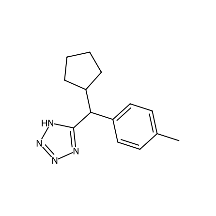 Cc1ccc(C(c2nnn[nH]2)C2CCCC2)cc1